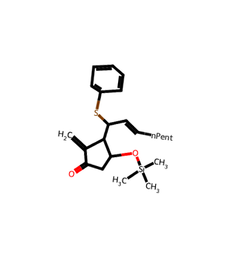 C=C1C(=O)CC(O[Si](C)(C)C)C1C(C=CCCCCC)Sc1ccccc1